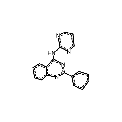 c1ccc(-c2nc(Nc3ncccn3)c3ccccc3n2)cc1